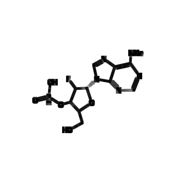 CNc1ncnc2c1ncn2[C@@H]1OC(CO)C(O[PH](=O)O)C1F